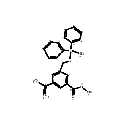 C=C(c1cc(CO[Si](c2ccccc2)(c2ccccc2)C(C)(C)C)cc(C(=O)OC(C)(C)C)c1)C(F)(F)F